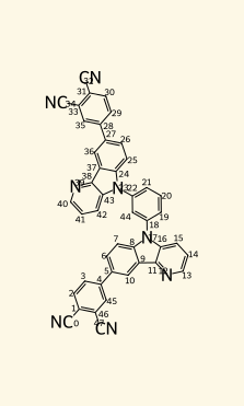 N#Cc1ccc(-c2ccc3c(c2)c2ncccc2n3-c2cccc(-n3c4ccc(-c5ccc(C#N)c(C#N)c5)cc4c4ncccc43)c2)cc1C#N